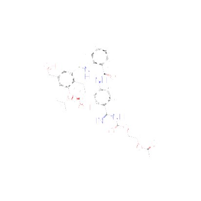 CC(=O)OCCOC(=O)NC(=N)c1ccc(NC(=O)c2cc(C)ccc2NCc2cc(CO)cc(OC(C)C)c2CCC(=O)O)cc1